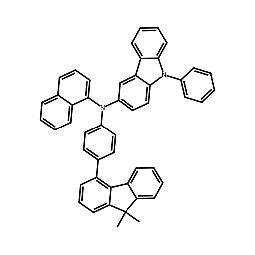 CC1(C)c2ccccc2-c2c(-c3ccc(N(c4ccc5c(c4)c4ccccc4n5-c4ccccc4)c4cccc5ccccc45)cc3)cccc21